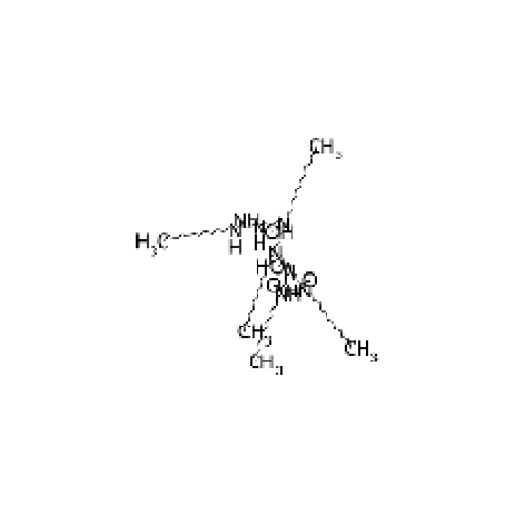 CCCCCCCCCCCCCCN(CCCCN(CCCCCCCCCCCCCC)CC(O)CN(CCC(=O)NCCCCCCCCCCCC)CCC(=O)NCCCCCCCCCCCC)CC(O)CNCCC(=N)NCCCCCCCCCCCC